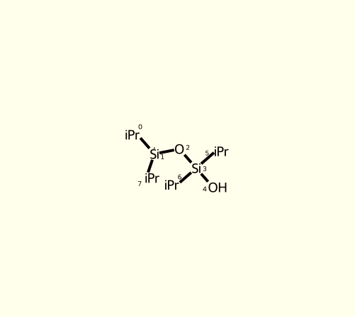 CC(C)[Si](O[Si](O)(C(C)C)C(C)C)C(C)C